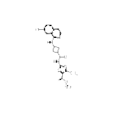 Cc1nc(NC(=O)C2CC(Nc3nccc4ccc(Cl)cc34)C2)sc1C(=O)OC(C)(C)C